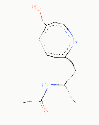 CC(=O)NC(C)Cc1ccc(O)cn1